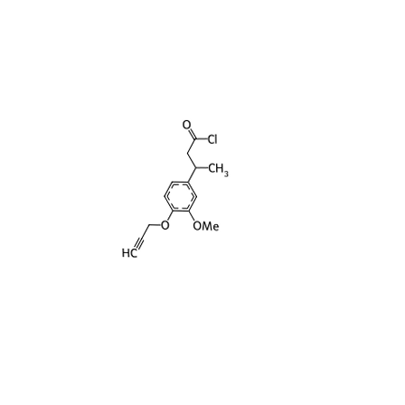 C#CCOc1ccc(C(C)CC(=O)Cl)cc1OC